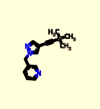 C[Si](C)(C)C#Cc1cnn(Cc2cccnc2)c1